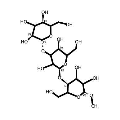 CO[C@@H]1OC(CO)[C@@H](O[C@@H]2OC(CO)[C@H](O)C(O[C@H]3OC(CO)[C@H](O)C(O)[C@@H]3O)C2O)C(O)C1O